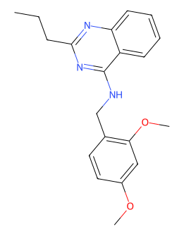 CCCc1nc(NCc2ccc(OC)cc2OC)c2ccccc2n1